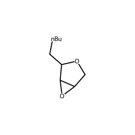 CCCCCC1OCC2OC12